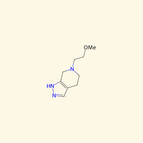 COCCN1CCc2[c]n[nH]c2C1